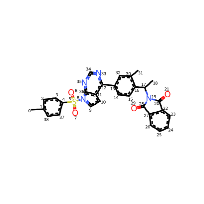 Cc1ccc(S(=O)(=O)n2ccc3c(-c4ccc(C(C)N5C(=O)c6ccccc6C5=O)c(C)c4)ncnc32)cc1